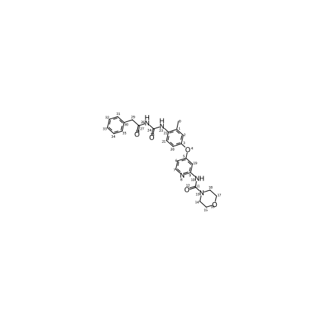 Cc1cc(Oc2ccnc(NC(=O)N3CCOCC3)c2)ccc1NC(=O)NC(=O)Cc1ccccc1